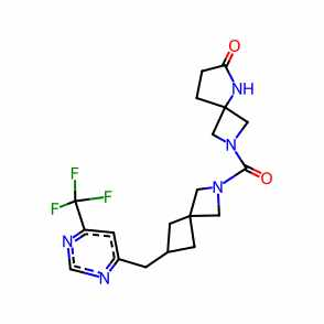 O=C1CCC2(CN(C(=O)N3CC4(CC(Cc5cc(C(F)(F)F)ncn5)C4)C3)C2)N1